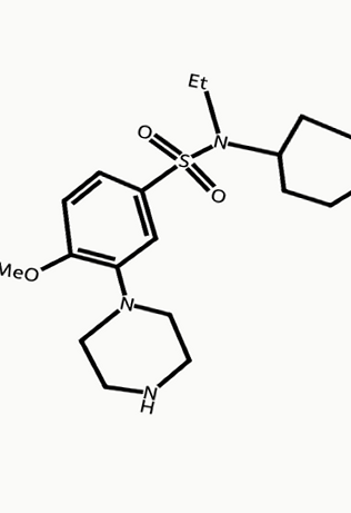 CCN(C1CCCCC1)S(=O)(=O)c1ccc(OC)c(N2CCNCC2)c1